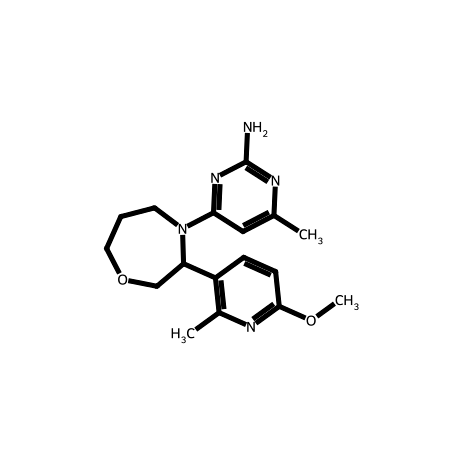 COc1ccc(C2COCCCN2c2cc(C)nc(N)n2)c(C)n1